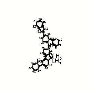 CC1(C)c2cc(-n3c4ccccc4c4cc(-c5cc6ccccc6o5)ccc43)ccc2-c2c1ccc1c2oc2ccccc21